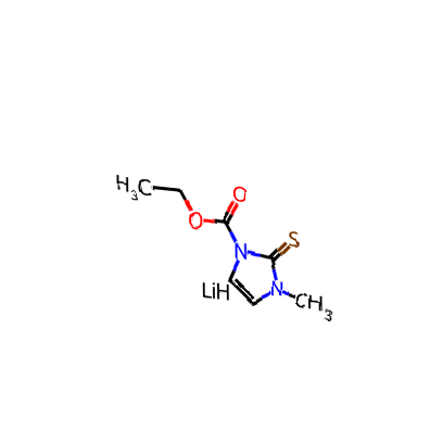 CCOC(=O)n1ccn(C)c1=S.[LiH]